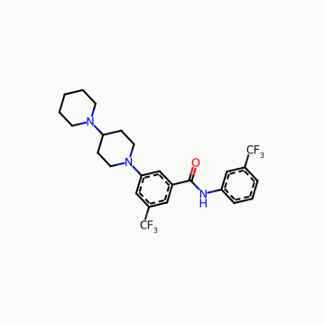 O=C(Nc1cccc(C(F)(F)F)c1)c1cc(N2CCC(N3CCCCC3)CC2)cc(C(F)(F)F)c1